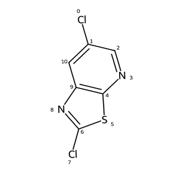 Clc1cnc2sc(Cl)nc2c1